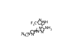 C[C@@H](Nc1ncc(N)c(-c2c[nH]c3ncc(C(F)(F)F)cc23)n1)c1ccc(N2CC[C@H](N(C)C)C2)nc1